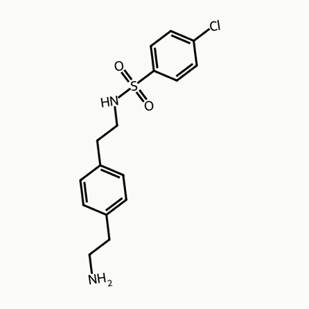 NCCc1ccc(CCNS(=O)(=O)c2ccc(Cl)cc2)cc1